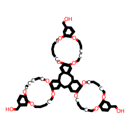 OCc1ccc2c(c1)OCCCCCOc1cc3c(cc1OCCCCCO2)Cc1cc2c(cc1Cc1cc4c(cc1C3)OCCCCCOc1ccc(CO)cc1OCCCCCO4)OCCCCCOc1ccc(CO)cc1OCCCCCO2